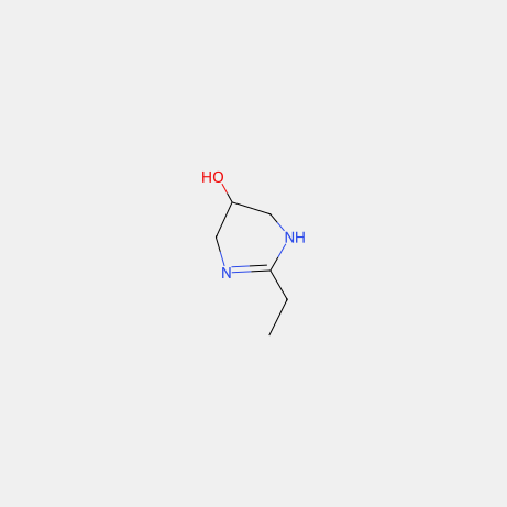 CCC1=NCC(O)CN1